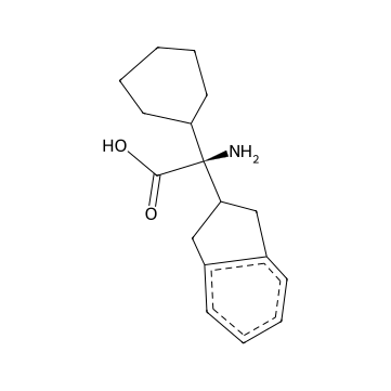 N[C@@](C(=O)O)(C1CCCCC1)C1Cc2ccccc2C1